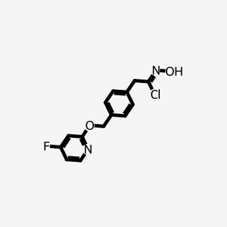 ON=C(Cl)Cc1ccc(COc2cc(F)ccn2)cc1